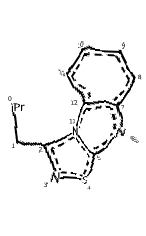 CC(C)Cc1nsc2nc3ccccc3n12